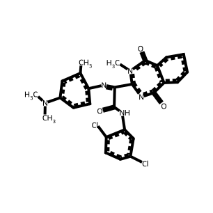 Cc1cc(N(C)C)ccc1/N=C(\C(=O)Nc1cc(Cl)ccc1Cl)c1nc(=O)c2ccccc2c(=O)n1C